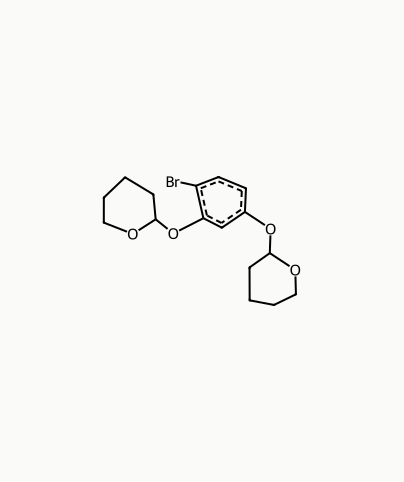 Brc1ccc(OC2CCCCO2)cc1OC1CCCCO1